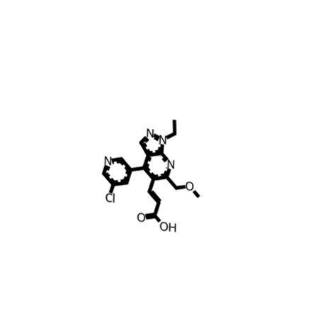 CCn1ncc2c(-c3cncc(Cl)c3)c(C=CC(=O)O)c(COC)nc21